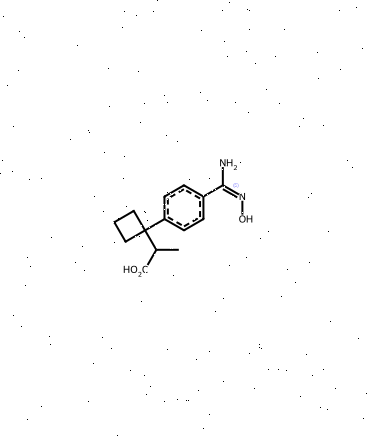 CC(C(=O)O)C1(c2ccc(/C(N)=N\O)cc2)CCC1